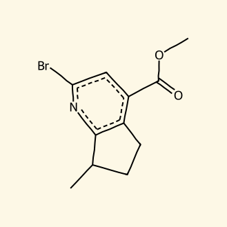 COC(=O)c1cc(Br)nc2c1CCC2C